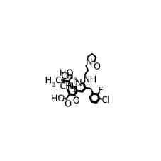 CC(C)(C)C(CO)n1cc(C(=O)O)c(=O)c2cc(Cc3cccc(Cl)c3F)c(NCCCN3CCCC3=O)nc21